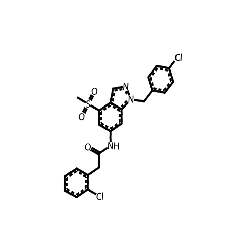 CS(=O)(=O)c1cc(NC(=O)Cc2ccccc2Cl)cc2c1cnn2Cc1ccc(Cl)cc1